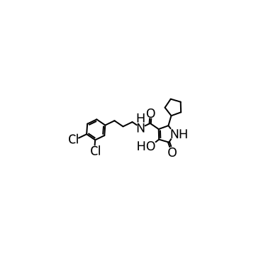 O=C1NC(C2CCCC2)C(C(=O)NCCCc2ccc(Cl)c(Cl)c2)=C1O